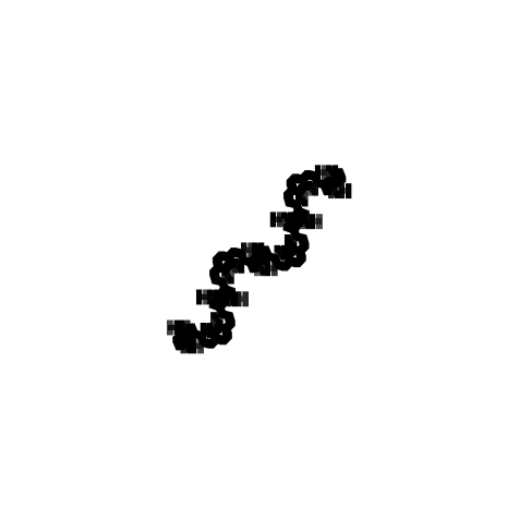 c1cc2[nH]cc(-c3ccc4ccc5ccc(-c6c[nH]c7c(-c8ccc9ccc%10ccc(-c%11c[nH]c%12c(-c%13ccc%14ccc%15ccc(-c%16c[nH]c%17c(-c%18ccc%19ccc%20ccc(-c%21c[nH]c%22cc[nH]c%21%22)nc%20c%19n%18)c[nH]c%16%17)nc%15c%14n%13)c[nH]c%11%12)nc%10c9n8)c[nH]c67)nc5c4n3)c2[nH]1